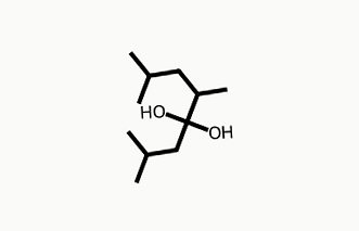 CC(C)CC(C)C(O)(O)CC(C)C